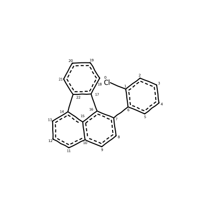 Clc1ccccc1-c1ccc2cccc3c2c1-c1ccccc1-3